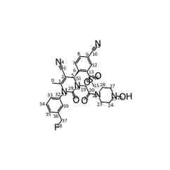 CC1=C(C#N)[C@@H](c2ccc(C#N)cc2S(C)(=O)=O)N(CC(=O)N2CCN(O)CC2)C(=O)N1c1cccc(CF)c1